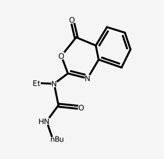 CCCCNC(=O)N(CC)c1nc2ccccc2c(=O)o1